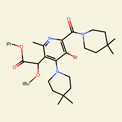 Cc1nc(C(=O)N2CCC(C)(C)CC2)c(Br)c(N2CCC(C)(C)CC2)c1C(OC(C)(C)C)C(=O)OC(C)C